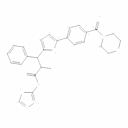 CC(C(=O)Nc1nncs1)C(c1ccccc1)c1ccc(-c2ccc(C(=O)N3CCOCC3)cc2)s1